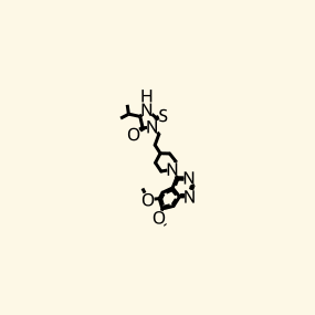 COc1cc2ncnc(N3CCC(CCN4C(=O)C(C(C)C)NC4=S)CC3)c2cc1OC